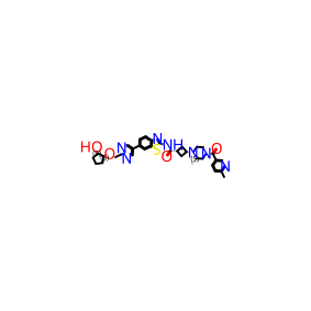 Cc1ccc(C(=O)N2CCN([C@H]3C[C@@H](C(=O)Nc4nc5ccc(-c6cnc(CO[C@H]7CCC[C@@H]7O)nc6)cc5s4)C3)[C@@H](C)C2)cn1